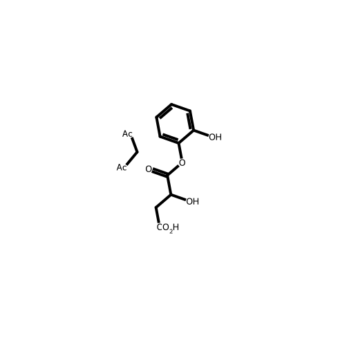 CC(=O)CC(C)=O.O=C(O)CC(O)C(=O)Oc1ccccc1O